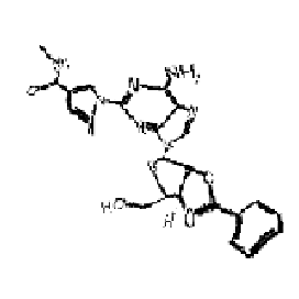 CNC(=O)c1cnn(-c2nc(N)c3ncn([C@@H]4O[C@H](CO)[C@@H]5OC(c6ccccc6)OC54)c3n2)c1